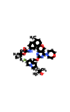 CC(C)(C)[O-].C[C@H]1CCC2(Cc3nc(OC[C@@]45CCCN4C[C@H](F)C5)nc(N4CCCOCC4)c3CO2)c2cc(NC(=O)OC(C)(C)C)ccc21.[Na+]